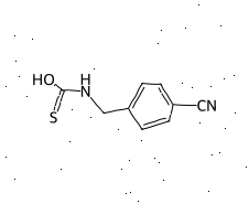 N#Cc1ccc(CNC(O)=S)cc1